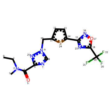 CCN(C)C(=O)c1ncn(Cc2ccc(-c3noc(C(F)(F)F)n3)s2)n1